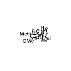 COc1cc(OC)c(F)c(C(=O)c2oc3cnc(Cl)cc3c2NC2CC2)c1F